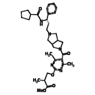 COC(=O)C(C)COc1nc(C)c(C(=O)N2CC3CN(CC[C@H](NC(=O)C4CCCC4)c4ccccc4)CC3C2)c(C)n1